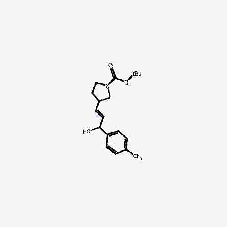 CC(C)(C)OC(=O)N1CCC(/C=C/C(O)c2ccc(C(F)(F)F)cc2)C1